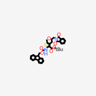 CC(C)(C)OC(=O)c1c(NC(=O)OCC2c3ccccc3-c3ccccc32)sc2c1CC(CN1C(=O)c3ccccc3C1=O)OC2